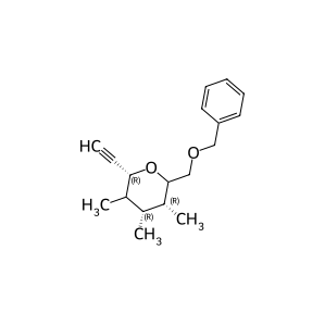 C#C[C@@H]1OC(COCc2ccccc2)[C@H](C)[C@H](C)C1C